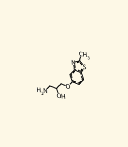 Cc1nc2cc(OCC(O)CN)ccc2s1